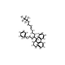 FC(F)(F)C(F)(F)CCCSCCCC(CCOc1ccccc1)C(=C1CCCc2ccccc21)c1ccccc1